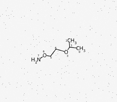 CC(C)OCCON